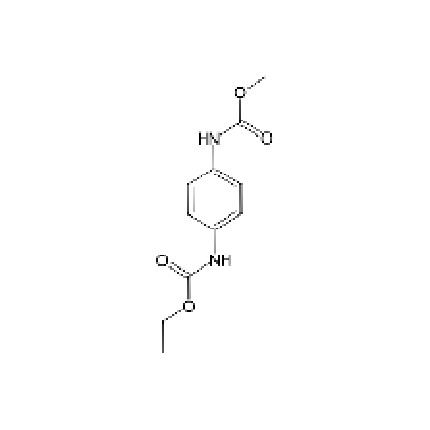 CCOC(=O)Nc1ccc(NC(=O)OC)cc1